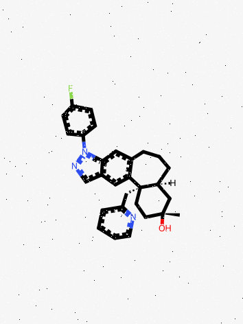 C[C@@]1(O)CC[C@@]2(Cc3ccccn3)c3cc4cnn(-c5ccc(F)cc5)c4cc3CCC[C@H]2C1